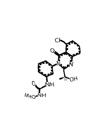 CONC(=O)Nc1cccc(-n2c([C@H](C)O)nc3cccc(Cl)c3c2=O)c1